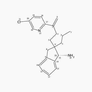 C=C(CCC1(CCC)Cc2ccccc2[C@H]1N)c1ccc(Cl)cn1